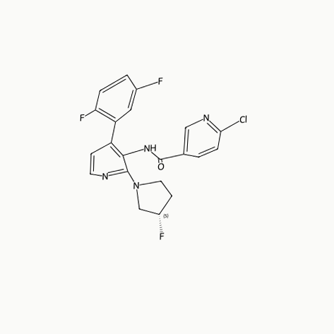 O=C(Nc1c(-c2cc(F)ccc2F)ccnc1N1CC[C@H](F)C1)c1ccc(Cl)nc1